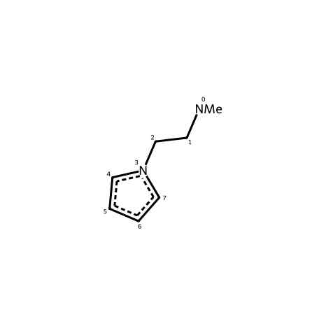 CNCCn1cccc1